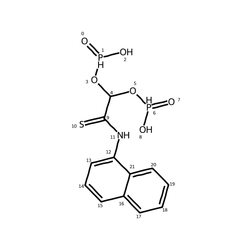 O=[PH](O)OC(O[PH](=O)O)C(=S)Nc1cccc2ccccc12